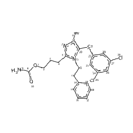 CC(C)c1nc(CCCOC(N)=O)n(CCc2ccccc2)c1Sc1cc(Cl)cc(Cl)c1